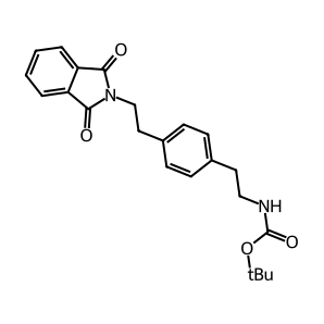 CC(C)(C)OC(=O)NCCc1ccc(CCN2C(=O)c3ccccc3C2=O)cc1